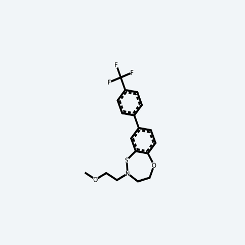 COCCN1CCOc2ccc(-c3ccc(C(F)(F)F)cc3)cc2S1